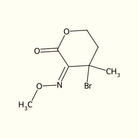 CON=C1C(=O)OCCC1(C)Br